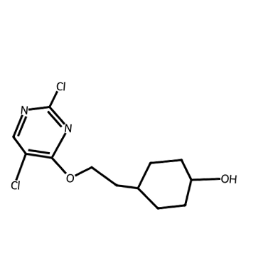 OC1CCC(CCOc2nc(Cl)ncc2Cl)CC1